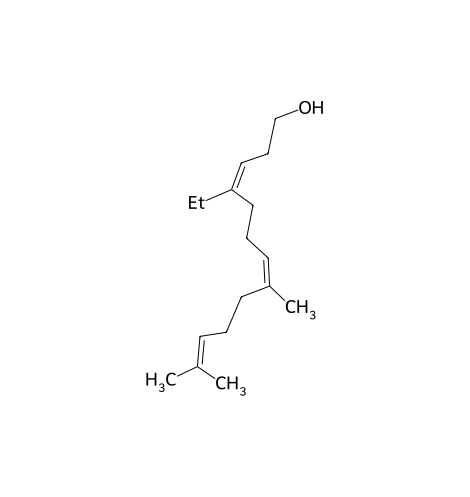 CC/C(=C/CCO)CC/C=C(/C)CCC=C(C)C